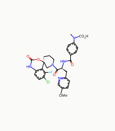 COc1ccc(C[C@H](NC(=O)c2ccc(N(C)C(=O)O)cc2)C(=O)N2CCC[C@@]3(C2)OC(=O)Nc2ccc(Cl)c(F)c23)nc1